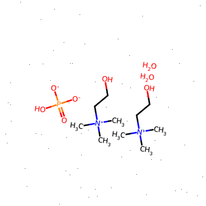 C[N+](C)(C)CCO.C[N+](C)(C)CCO.O.O.O=P([O-])([O-])O